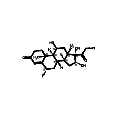 C[C@]12CCC(=O)C=C1[C@@H](F)C[C@@H]1[C@@H]2[C@@H](O)C[C@@]2(C)[C@H]1C[C@@H](O)[C@]2(O)C(=O)CCl